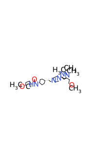 COCCc1cc(N2CCN(CC[C@H]3CC[C@@H](NC(=O)[C@H]4CC[C@H](OC)CC4)CC3)CC2)nc(C(C)(C)C)n1